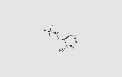 CC(C)(C)NCc1ccccc1O